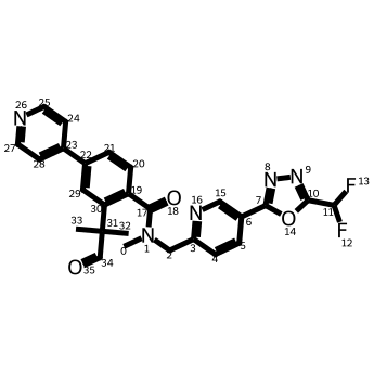 CN(Cc1ccc(-c2nnc(C(F)F)o2)cn1)C(=O)c1ccc(-c2ccncc2)cc1C(C)(C)C=O